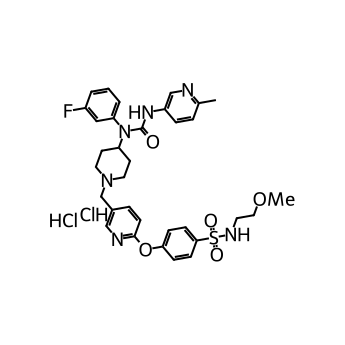 COCCNS(=O)(=O)c1ccc(Oc2ccc(CN3CCC(N(C(=O)Nc4ccc(C)nc4)c4cccc(F)c4)CC3)cn2)cc1.Cl.Cl